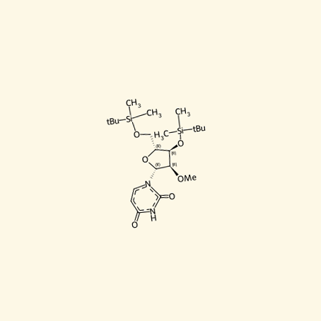 CO[C@@H]1[C@H](O[Si](C)(C)C(C)(C)C)[C@@H](CO[Si](C)(C)C(C)(C)C)O[C@H]1n1ccc(=O)[nH]c1=O